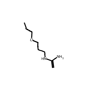 C=C(N)NCCCOCCC